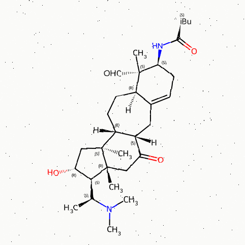 CC[C@H](C)C(=O)N[C@H]1CC=C2C[C@@H]3C(=O)C[C@]4(C)[C@@H]([C@H](C)N(C)C)[C@H](O)C[C@@]4(C)[C@@H]3CC[C@H]2[C@]1(C)C=O